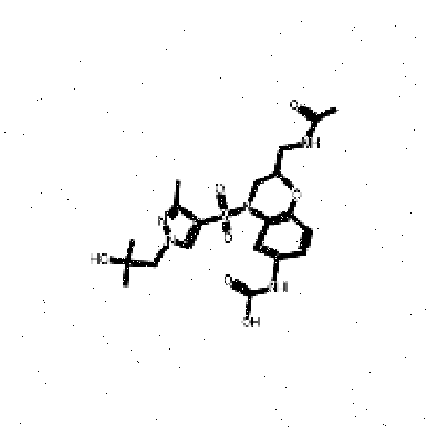 CC(=O)NCC1CN(S(=O)(=O)c2cn(CC(C)(C)O)nc2C)c2cc(NC(=O)O)ccc2O1